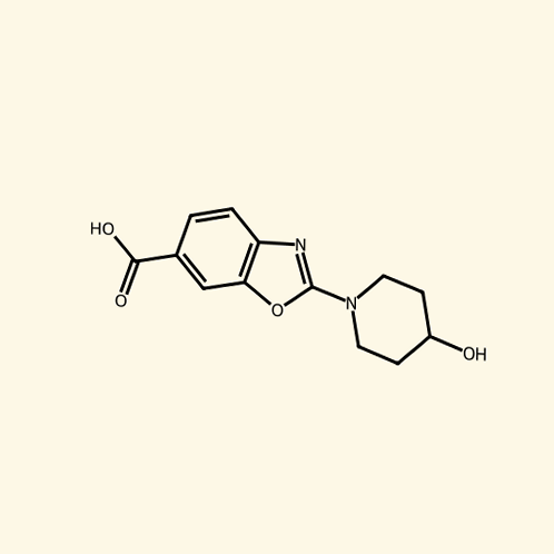 O=C(O)c1ccc2nc(N3CCC(O)CC3)oc2c1